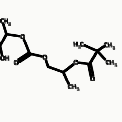 CC(CO)OC(=O)OCC(C)OC(=O)C(C)(C)C